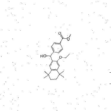 CCOc1cc2c(cc1C(O)c1ccc(C(=O)OC)cc1)C(C)(C)CCC2(C)C